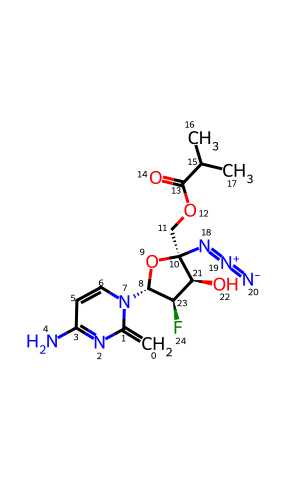 C=C1N=C(N)C=CN1[C@@H]1O[C@@](COC(=O)C(C)C)(N=[N+]=[N-])[C@@H](O)[C@H]1F